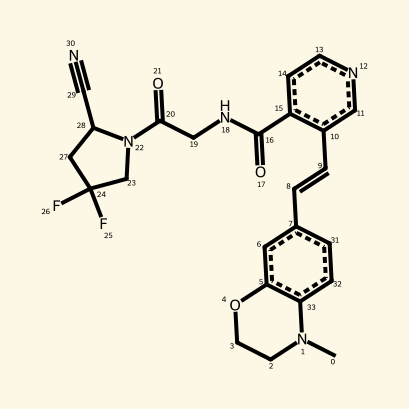 CN1CCOc2cc(C=Cc3cnccc3C(=O)NCC(=O)N3CC(F)(F)CC3C#N)ccc21